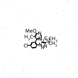 COc1ncnc(-c2cc(Cl)ccc2-n2cc([Si](C)(C)C)nn2)c1C